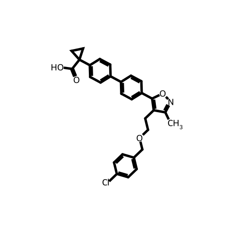 Cc1noc(-c2ccc(-c3ccc(C4(C(=O)O)CC4)cc3)cc2)c1CCOCc1ccc(Cl)cc1